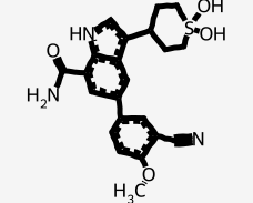 COc1ccc(-c2cc(C(N)=O)c3[nH]cc(C4CCS(O)(O)CC4)c3c2)cc1C#N